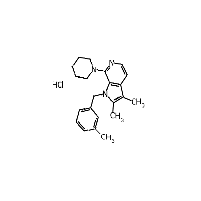 Cc1cccc(Cn2c(C)c(C)c3ccnc(N4CCCCC4)c32)c1.Cl